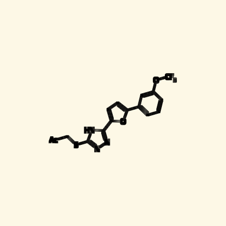 CC(=O)CSc1nnc(-c2ccc(-c3cccc(OC(F)(F)F)c3)o2)[nH]1